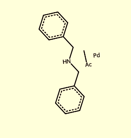 CC(C)=O.[Pd].c1ccc(CNCc2ccccc2)cc1